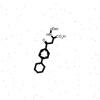 CCCCCCCCCCNC(CC(=O)c1ccc(C2CCCCC2)cc1)C(=O)O